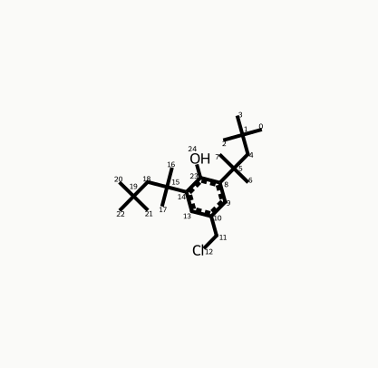 CC(C)(C)CC(C)(C)c1cc(CCl)cc(C(C)(C)CC(C)(C)C)c1O